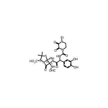 CCN1CCN(C(=O)NC(C(=O)N[C@@]2(NC=O)C(=O)N3[C@@H](C(=O)O)C(C)(C)S[C@@H]32)c2ccc(O)c(O)c2)C(=O)C1=O